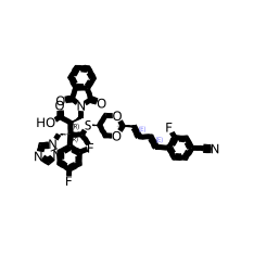 CC(S[C@H]1CO[C@H](/C=C/C=C/c2ccc(C#N)cc2F)OC1)[C@@](Cn1cncn1)(c1ccc(F)cc1F)[C@H](CN1C(=O)c2ccccc2C1=O)C(=O)O